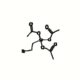 CC(=O)O[Si](CCBr)(OC(C)=O)OC(C)=O